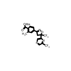 COC(=O)c1ccc(C2=NOC(c3cncc(C(F)(F)F)n3)(C(F)(F)F)C2)cc1C